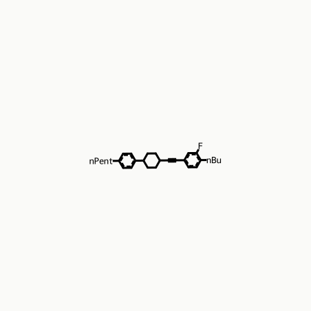 CCCCCc1ccc(C2CCC(C#Cc3ccc(CCCC)c(F)c3)CC2)cc1